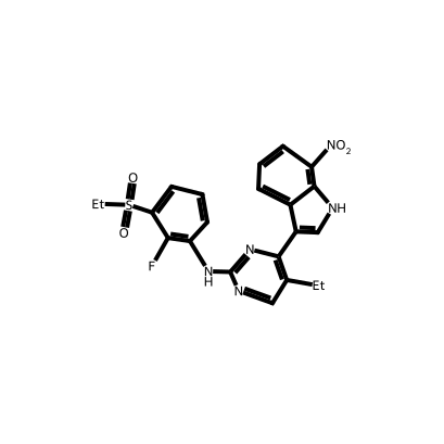 CCc1cnc(Nc2cccc(S(=O)(=O)CC)c2F)nc1-c1c[nH]c2c([N+](=O)[O-])cccc12